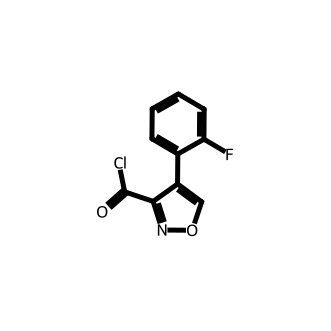 O=C(Cl)c1nocc1-c1ccccc1F